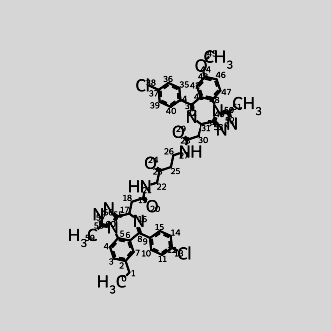 CCc1ccc2c(c1)C(c1ccc(Cl)cc1)=NC(CC(=O)NCC(=O)CCNC(=O)C[C@H]1N=C(c3ccc(Cl)cc3)c3cc(OC)ccc3-n3c(C)nnc31)c1nnc(C)n1-2